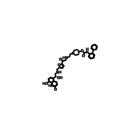 O=C(Nc1ccccc1-c1ccccc1)OC1CCN(CCNCC(=O)c2ccc(CNC[C@H](O)c3ccc(O)c4[nH]c(=O)ccc34)o2)CC1